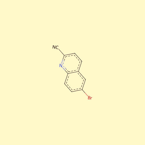 N#Cc1ccc2cc(Br)ccc2n1